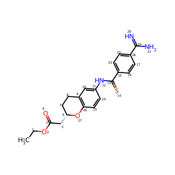 CCOC(=O)C[C@@H]1CCc2cc(NC(=S)c3ccc(C(=N)N)cc3)ccc2O1